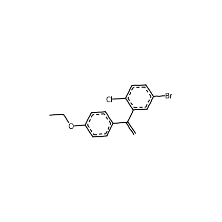 C=C(c1ccc(OCC)cc1)c1cc(Br)ccc1Cl